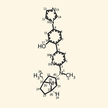 CN(c1ccc(-c2ccc(-n3ccnc3)cc2O)nn1)[C@@H]1C[C@H]2CC[C@@](C)(C1)N2